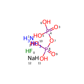 F.N.N.O=P(O)(O)OP(=O)(O)O.[NaH]